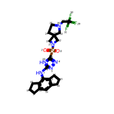 O=S(=O)(c1nnc(Nc2c3c(cc4c2CCC4)CCC3)[nH]1)N1CC2(CCN(CC(F)(F)F)C2)C1